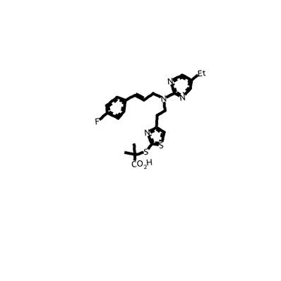 CCc1cnc(N(CC=Cc2ccc(F)cc2)CCc2csc(SC(C)(C)C(=O)O)n2)nc1